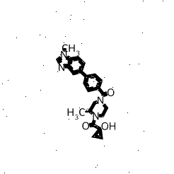 C[C@H]1CN(C(=O)c2ccc(-c3ccc4c(c3)ncn4C)cc2)CCN1C(=O)C1(O)CC1